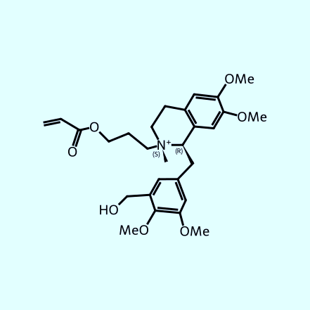 C=CC(=O)OCCC[N@+]1(C)CCc2cc(OC)c(OC)cc2[C@H]1Cc1cc(CO)c(OC)c(OC)c1